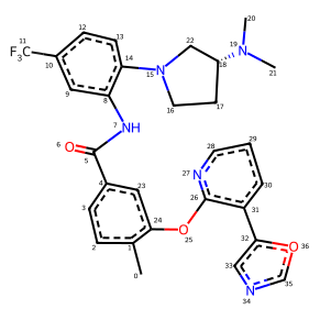 Cc1ccc(C(=O)Nc2cc(C(F)(F)F)ccc2N2CC[C@@H](N(C)C)C2)cc1Oc1ncccc1-c1cnco1